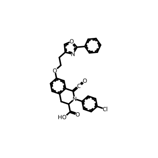 O=C=C1c2cc(OCCc3coc(-c4ccccc4)n3)ccc2CC(C(=O)O)N1c1ccc(Cl)cc1